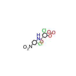 O=C(Nc1ccc([N+](=O)[O-])cc1Cl)c1cc(Cl)c2oc(=O)oc2c1